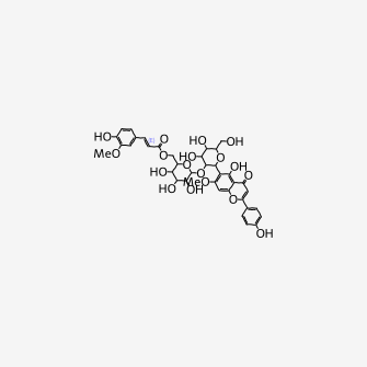 COc1cc(/C=C/C(=O)OCC2OC(OC3C(c4c(OC)cc5oc(-c6ccc(O)cc6)cc(=O)c5c4O)OC(CO)C(O)C3O)C(O)C(O)C2O)ccc1O